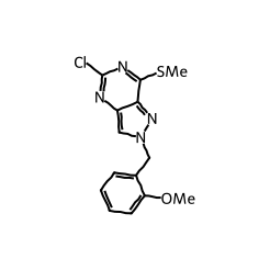 COc1ccccc1Cn1cc2nc(Cl)nc(SC)c2n1